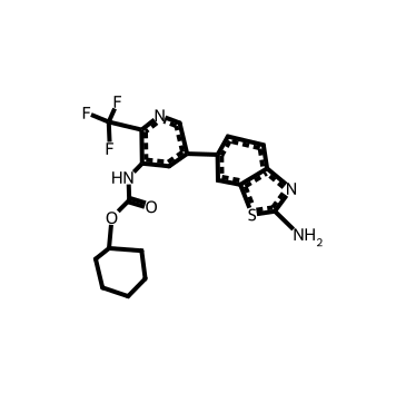 Nc1nc2ccc(-c3cnc(C(F)(F)F)c(NC(=O)OC4CCCCC4)c3)cc2s1